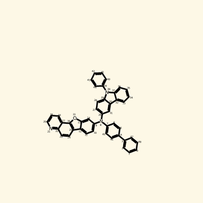 c1ccc(-c2ccc(N(c3ccc4c(c3)oc3c5cccnc5ccc43)c3ccc4c(c3)c3ccccc3n4-c3ccccc3)cc2)cc1